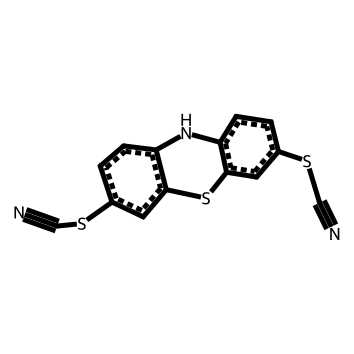 N#CSc1ccc2c(c1)Sc1cc(SC#N)ccc1N2